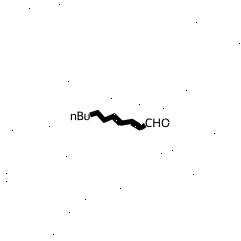 CCCCCCC=CC=CC=O